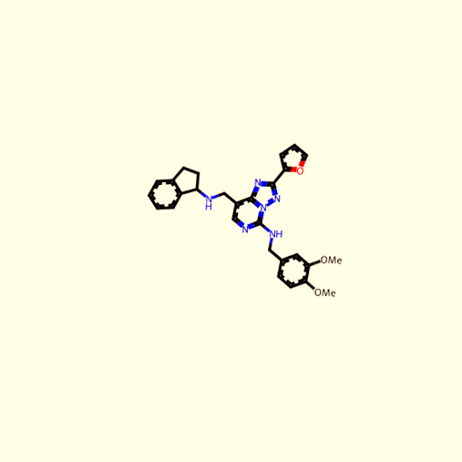 COc1ccc(CNc2ncc(CNC3CCc4ccccc43)c3nc(-c4ccco4)nn23)cc1OC